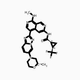 CNc1ncc(-c2nc3ccc(N4CCO[C@@H](C)C4)cn3n2)c2cc(NC(=O)[C@H]3C[C@H]3C(F)(F)F)ncc12